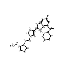 Cc1cc(N(C)C2CCOCC2)c2[nH]c(C3=N[C@@H](CCN4CCC[C@@H]4CO)CS3)cc2c1